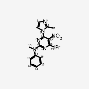 Cc1nccn1-c1nc(N(C)c2ccccc2)nc(C(C)C)c1[N+](=O)[O-]